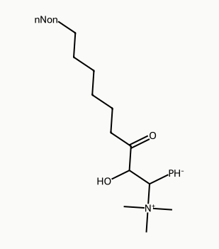 CCCCCCCCCCCCCCCC(=O)C(O)C([PH-])[N+](C)(C)C